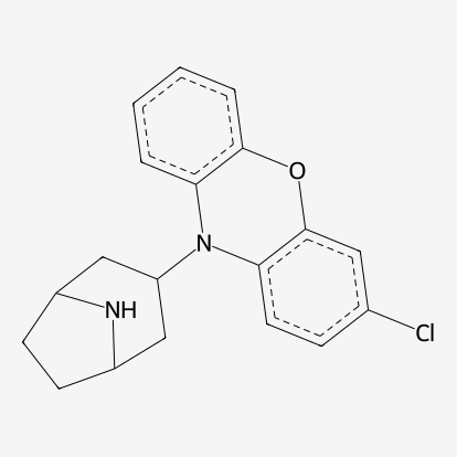 Clc1ccc2c(c1)Oc1ccccc1N2C1CC2CCC(C1)N2